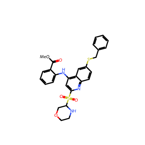 COC(=O)c1ccccc1Nc1cc(S(=O)(=O)C2COCCN2)nc2ccc(SCc3ccccc3)cc12